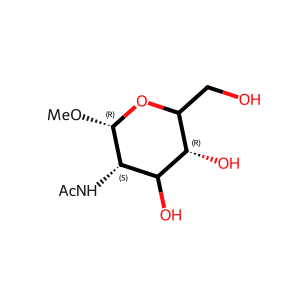 CO[C@@H]1OC(CO)[C@H](O)C(O)[C@@H]1NC(C)=O